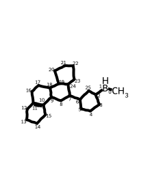 CBC1CCCC(C2CC3C4=C(CCCC4)CCC3C3CCCCC23)C1